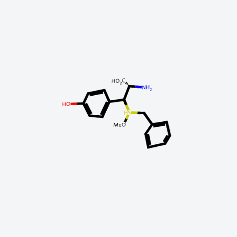 CO[SH](Cc1ccccc1)C(c1ccc(O)cc1)[C@@H](N)C(=O)O